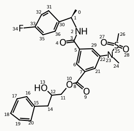 C[C@@H](NC(=O)c1cc(C(=O)OCC(O)Cc2ccccc2)cc(N(C)S(C)(=O)=O)c1)c1ccc(F)cc1